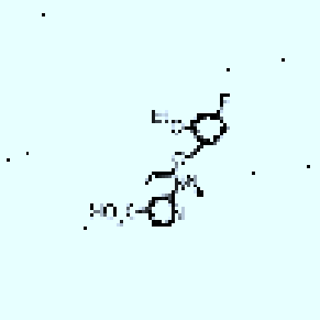 C=NN(/C(=C\C)OCc1ccc(F)cc1OCC)c1cc(C(=O)O)ccn1